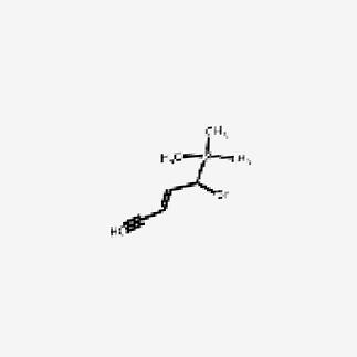 C#CC=CC(Br)[Si](C)(C)C